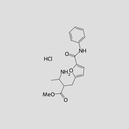 COC(=O)C(Cc1ccc(C(=O)Nc2ccccc2)o1)C(C)N.Cl